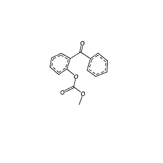 COC(=O)Oc1ccccc1C(=O)c1ccccc1